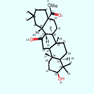 COC(=O)[C@]12CCC(C)(C)C[C@H]1[C@H]1C(=O)CC3[C@@]4(C)CC[C@H](O)C(C)(C)[C@@H]4CC[C@@]3(C)[C@]1(C)CC2